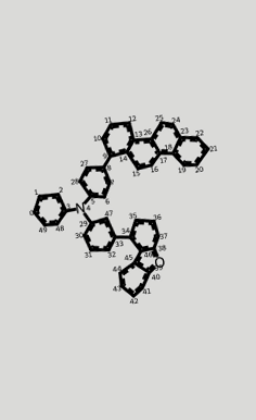 c1ccc(N(c2ccc(-c3cccc4c3ccc3c5ccccc5ccc43)cc2)c2cccc(-c3cccc4oc5ccccc5c34)c2)cc1